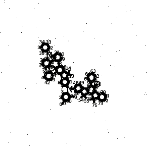 Cc1ccc(N(c2ccc3c(c2)C(C)(C)c2cc(-c4cccc5c4c4ccccc4n5-c4ccccc4)c4oc5ccccc5c4c2-3)c2ccc3c(c2)C(C)(C)c2c4c(c5oc6ccccc6c5c2-3)-c2ccccc2C4(C)C)c(C)c1